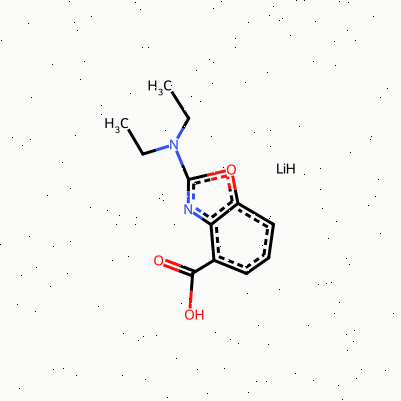 CCN(CC)c1nc2c(C(=O)O)cccc2o1.[LiH]